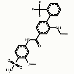 CCNc1cc(C(=O)Nc2ccc(S(N)(=O)=O)c(OC)c2)ccc1-c1ccccc1C(F)(F)F